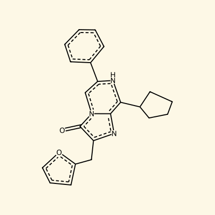 O=c1c(Cc2ccco2)nc2c(C3CCCC3)[nH]c(-c3ccccc3)cn1-2